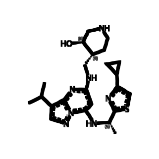 CC(C)c1cnn2c(N[C@@H](C)c3nc(C4CC4)cs3)cc(NC[C@H]3CCNC[C@@H]3O)nc12